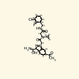 CC(=O)c1ccc2c(C(N)O)nn(CC(=O)N(CC(=O)NCc3cccc(Cl)c3F)C3CC3)c2c1